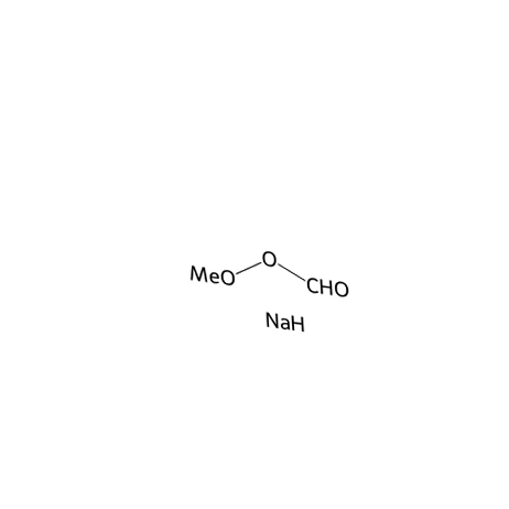 COOC=O.[NaH]